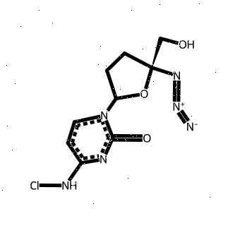 [N-]=[N+]=N[C@@]1(CO)CCC(n2ccc(NCl)nc2=O)O1